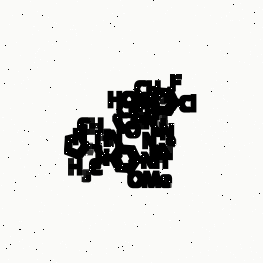 C=CC(=O)Nc1cc(Nc2ncnc(Nc3cc(Cl)c(F)cc3C(C)(C)O)n2)c(OC)cc1N(C)C[C@@H]1CCCN1C